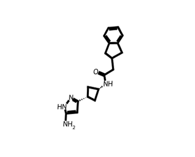 Nc1cc([C@H]2C[C@@H](NC(=O)CC3Cc4ccccc4C3)C2)n[nH]1